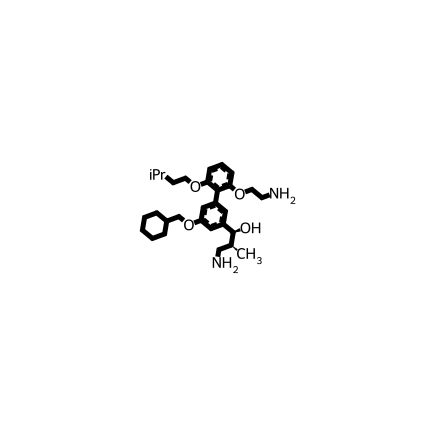 CC(C)CCOc1cccc(OCCN)c1-c1cc(OCC2CCCCC2)cc([C@@H](O)[C@H](C)CN)c1